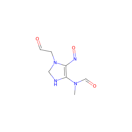 CN(C=O)C1=C(N=O)N(CC=O)CN1